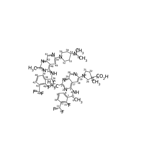 Cc1nc(NC(C)c2cccc(C(F)F)c2F)c2cc(N3CCC(C)(C(=O)O)C3)ncc2n1.Cc1nc(NC(C)c2cccc(C(F)F)c2F)c2cc(N3CCC(N(C)C)CC3)ncc2n1